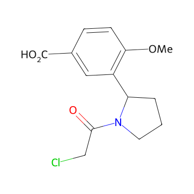 COc1ccc(C(=O)O)cc1C1CCCN1C(=O)CCl